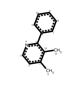 Cc1ccnc(-c2ccccc2)c1C